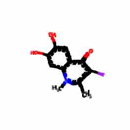 Cc1c(I)c(=O)c2cc(O)c(O)cc2n1C